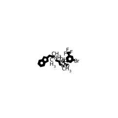 CN(C[C@H](O)CNC(C)(C)CC1Cc2ccccc2C1)S(=O)(=O)c1cc(Br)cc(C(F)(F)F)c1